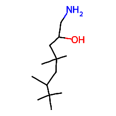 CC(CC(C)(C)CC(O)CN)C(C)(C)C